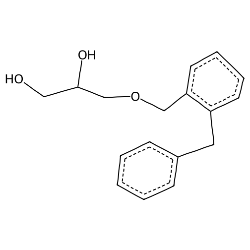 OCC(O)COCc1ccccc1Cc1ccccc1